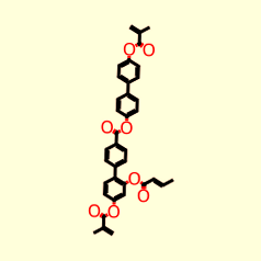 C=C(C)C(=O)Oc1ccc(-c2ccc(OC(=O)c3ccc(-c4ccc(OC(=O)C(=C)C)cc4OC(=O)/C=C/C)cc3)cc2)cc1